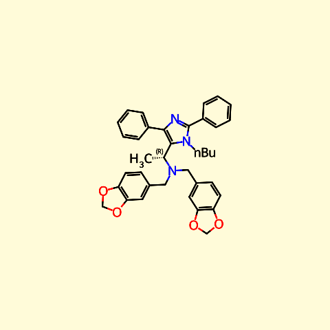 CCCCn1c(-c2ccccc2)nc(-c2ccccc2)c1[C@@H](C)N(Cc1ccc2c(c1)OCO2)Cc1ccc2c(c1)OCO2